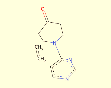 C=C.O=C1CCN(c2ccncn2)CC1